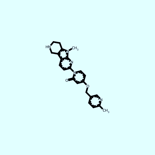 Cc1ccc(COc2ccn(-c3ccc4c5c(n(C)c4n3)CCNC5)c(=O)c2)cn1